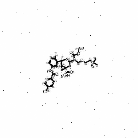 CNC(=O)[C@]12C[C@H]1[C@@](C)(c1cc(NC(=O)c3ccc(Cl)cn3)ccc1F)N=C(N(COCC[Si](C)(C)C)C(=O)OC(C)(C)C)S2